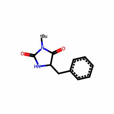 CC(C)(C)N1C(=O)NC(Cc2ccccc2)C1=O